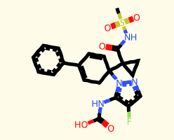 CS(=O)(=O)NC(=O)C1(C2(n3ncc(F)c3NC(=O)O)C=CC(c3ccccc3)=CC2)CC1